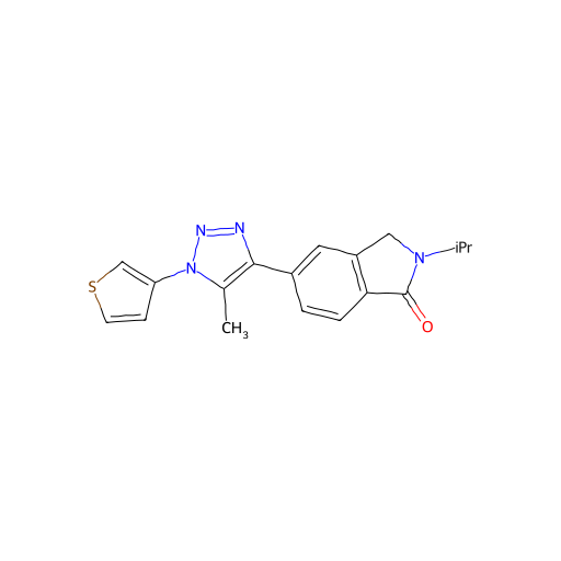 Cc1c(-c2ccc3c(c2)CN(C(C)C)C3=O)nnn1-c1ccsc1